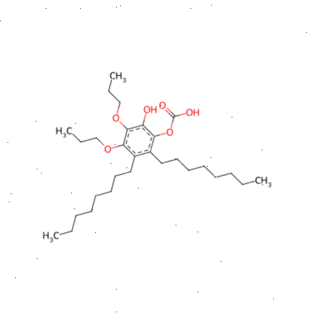 CCCCCCCCc1c(CCCCCCCC)c(OCCC)c(OCCC)c(O)c1OC(=O)O